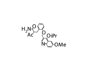 COc1ccc2ncc(COc3ccccc3CC(C(C)=O)C(N)=O)c(OC(C)C)c2c1